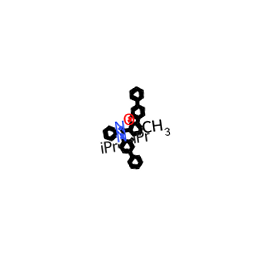 Cc1ccc(-c2nc3ccccc3n2-c2c(C(C)C)cc(-c3ccccc3)cc2C(C)C)c2oc3cc(-c4ccccc4)ccc3c12